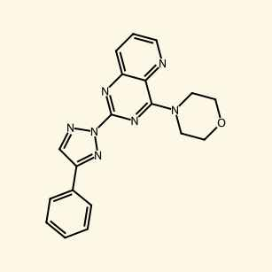 c1ccc(-c2cnn(-c3nc(N4CCOCC4)c4ncccc4n3)n2)cc1